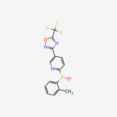 Cc1ccccc1[S+]([O-])c1ccc(-c2noc(C(F)(F)F)n2)cn1